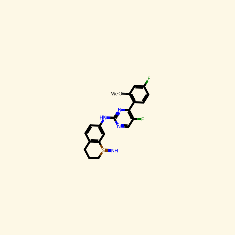 COc1cc(F)ccc1-c1nc(Nc2ccc3c(c2)S(=N)CCC3)ncc1F